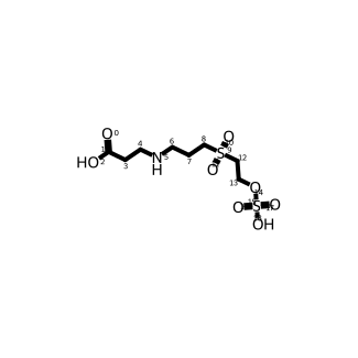 O=C(O)CCNCCCS(=O)(=O)CCOS(=O)(=O)O